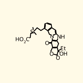 CCC1(O)C(=O)OCC2=C1CC1=C(C2=O)N2Cc3c(cccc3CC[Si](C)(C)CCC(=O)O)C=C2N1